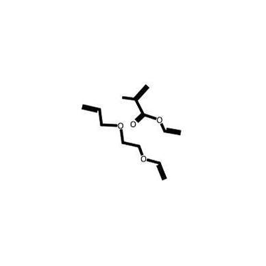 C=CCOCCOC=C.C=COC(=O)C(=C)C